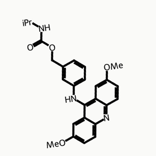 COc1ccc2nc3ccc(OC)cc3c(Nc3cccc(COC(=O)NC(C)C)c3)c2c1